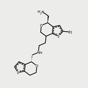 CCc1cc2c(s1)C(CCNC[C@@H]1OCCc3sccc31)CO[C@H]2CN